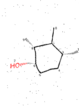 CC1[C@H](C)CC[C@H](O)[C@@H]1C